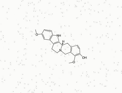 COc1ccc2[nH]c3c(c2c1)CCN1Cc2c(ccc(O)c2OC)C[C@@H]31